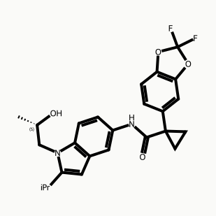 CC(C)c1cc2cc(NC(=O)C3(c4ccc5c(c4)OC(F)(F)O5)CC3)ccc2n1C[C@H](C)O